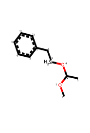 COC(C)O[SiH2]Cc1ccccc1